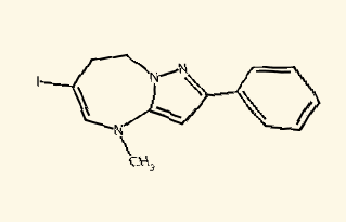 CN1C=C(I)CCn2nc(-c3ccccc3)cc21